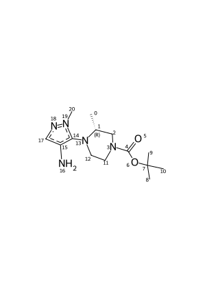 C[C@@H]1CN(C(=O)OC(C)(C)C)CCN1c1c(N)cnn1C